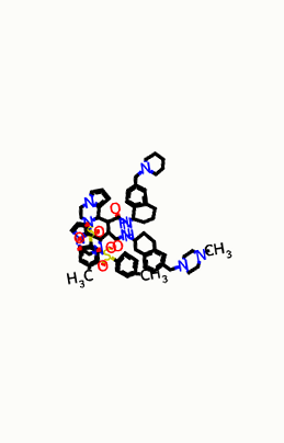 Cc1ccc(S(=O)(=O)N2CCn3cccc3C2C(C(=O)NC2CCc3cc(CN4CCN(C)CC4)ccc3C2)C(C(=O)NC2CCCc3cc(CN4CCCCC4)ccc32)C2c3cccn3CCN2S(=O)(=O)c2ccc(C)cc2)cc1